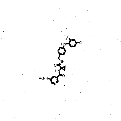 CC(=O)Nc1cncc(C(=O)NC2(C(=O)NCc3ccc(Nc4ccc(Cl)cc4C(F)(F)F)cn3)CC2)c1